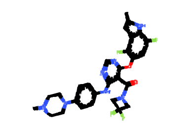 Cc1cc2c(F)c(Oc3ncnc(Nc4ccc(N5CCN(C)CC5)cc4)c3C(=O)N3CC(F)(F)C3)cc(F)c2[nH]1